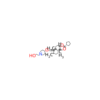 C=C1CCC2[C@]3(C)CO[C@@H](C4CCCC4)O[C@@H]3CC[C@@]2(C)[C@@H]1CCOC1CCN(CCO)CC1